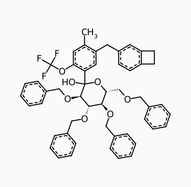 Cc1cc(OC(F)(F)F)c(C2(O)O[C@H](COCc3ccccc3)[C@@H](OCc3ccccc3)[C@H](OCc3ccccc3)[C@H]2OCc2ccccc2)cc1Cc1ccc2c(c1)CC2